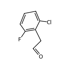 O=CCc1c(F)cccc1Cl